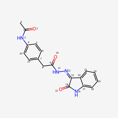 CC(=O)Nc1ccc(CC(=O)N/N=C2\C(=O)Nc3ccccc32)cc1